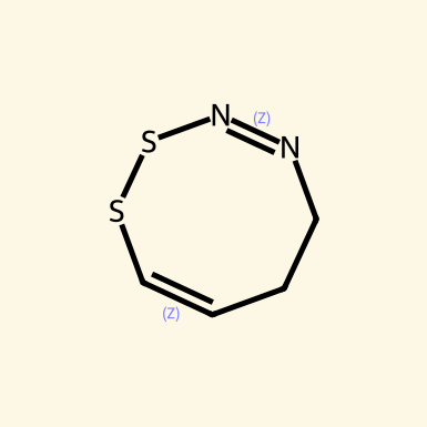 C1=C\SS/N=N\CC/1